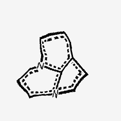 c1cn2ccn3ccc1c23